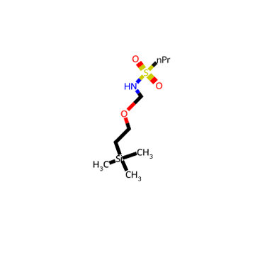 CCCS(=O)(=O)NCOCC[Si](C)(C)C